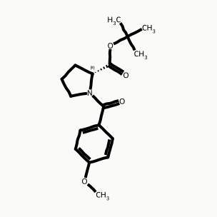 COc1ccc(C(=O)N2CCC[C@@H]2C(=O)OC(C)(C)C)cc1